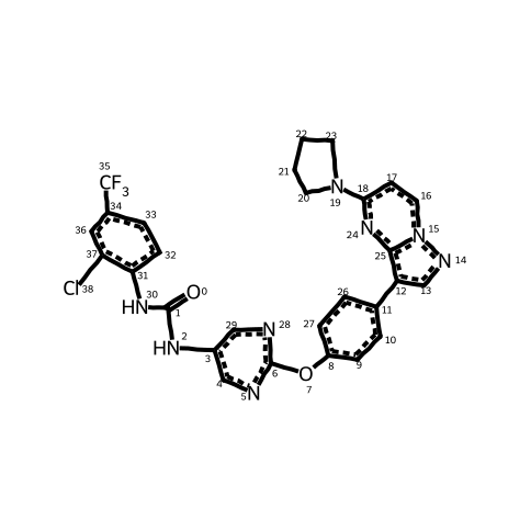 O=C(Nc1cnc(Oc2ccc(-c3cnn4ccc(N5CCCC5)nc34)cc2)nc1)Nc1ccc(C(F)(F)F)cc1Cl